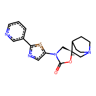 O=C1O[C@]2(CN3CCC2CC3)CN1c1cnc(-c2cccnc2)s1